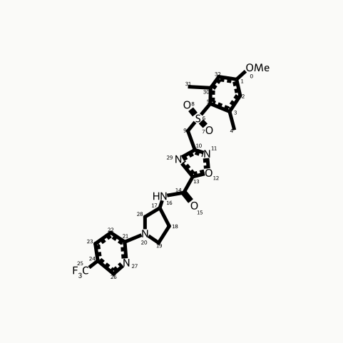 COc1cc(C)c(S(=O)(=O)Cc2noc(C(=O)NC3CCN(c4ccc(C(F)(F)F)cn4)C3)n2)c(C)c1